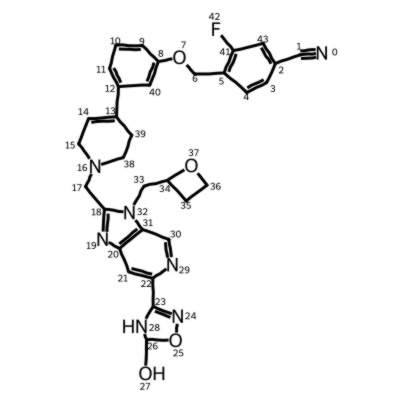 N#Cc1ccc(COc2cccc(C3=CCN(Cc4nc5cc(C6=NOC(O)N6)ncc5n4CC4CCO4)CC3)c2)c(F)c1